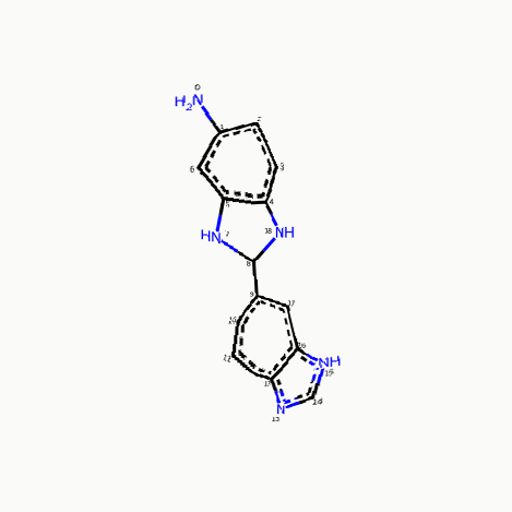 Nc1ccc2c(c1)NC(c1ccc3nc[nH]c3c1)N2